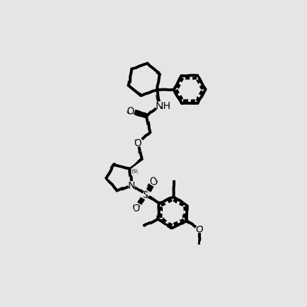 COc1cc(C)c(S(=O)(=O)N2CCC[C@H]2COCC(=O)NC2(c3ccccc3)CCCCC2)c(C)c1